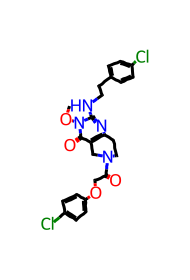 COn1c(NCCc2ccc(Cl)cc2)nc2c(c1=O)CN(C(=O)COc1ccc(Cl)cc1)CC2